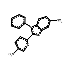 O=[N+]([O-])c1ccc(-c2nc3cc([N+](=O)[O-])ccc3n2-c2ccccc2)nc1